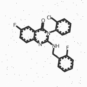 O=c1c2cc(F)ccc2nc(NCc2ccccc2F)n1-c1ccccc1Cl